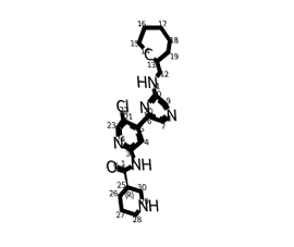 O=C(Nc1cc(-c2cncc(NCC3CCCCCC3)n2)c(Cl)cn1)[C@@H]1CCCNC1